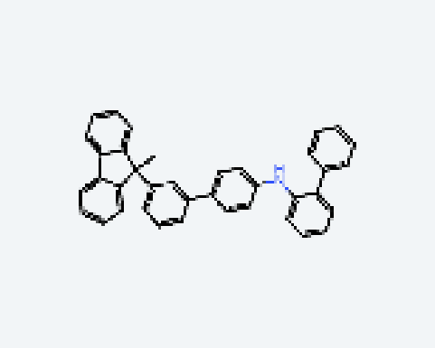 CC1(c2cccc(-c3ccc(Nc4ccccc4-c4ccccc4)cc3)c2)c2ccccc2-c2ccccc21